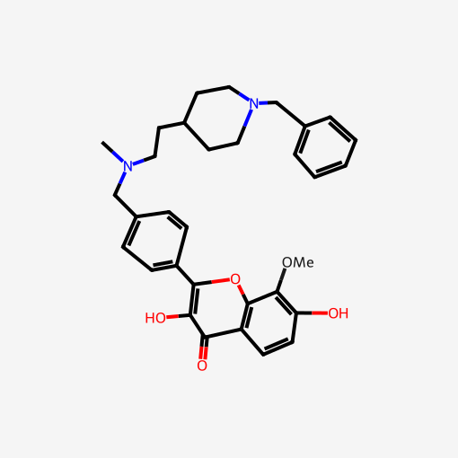 COc1c(O)ccc2c(=O)c(O)c(-c3ccc(CN(C)CCC4CCN(Cc5ccccc5)CC4)cc3)oc12